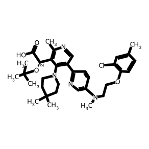 Cc1ccc(OCCN(C)c2ccc(-c3cnc(C)c([C@H](OC(C)(C)C)C(=O)O)c3N3CCC(C)(C)CC3)nc2)c(Cl)c1